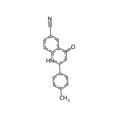 Cc1ccc(-c2cc(=O)c3cc(C#N)ccc3[nH]2)cc1